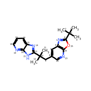 CC(C)(C)c1nc2cc(CC(C)(C)c3nc4cccnc4[nH]3)cnc2o1